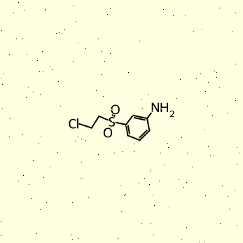 Nc1cccc(S(=O)(=O)CCCl)c1